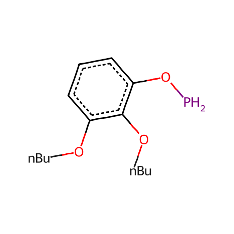 CCCCOc1cccc(OP)c1OCCCC